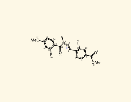 COC(=O)c1ccc(/C=N/N(C)C(=O)c2ccc(OC)cc2F)c(F)c1